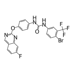 O=C(Nc1ccc(Oc2ncc3ccc(F)cc3n2)cc1)Nc1ccc(Br)c(C(F)(F)F)c1